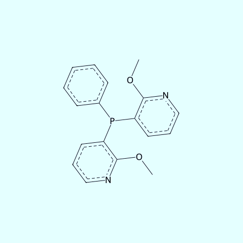 COc1ncccc1P(c1ccccc1)c1cccnc1OC